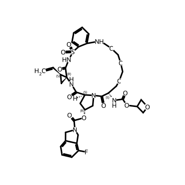 C=C[C@@H]1C[C@@]12NC(=O)[C@@H]1C[C@@H](OC(=O)N3Cc4cccc(F)c4C3)CN1C(=O)[C@@H](NC(=O)OC1COC1)CCCCCCCNc1ccccc1S(=O)(=O)NC2=O